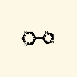 [c]1nc(-c2cncnc2)cs1